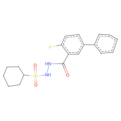 O=C(NNS(=O)(=O)C1CCCCC1)c1cc(-c2ccccc2)ccc1F